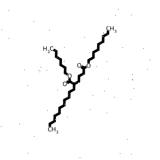 CCCCCCCCCCCC(CCCC(=O)OCCCCCCCCC)C(=O)OCCCCCCC